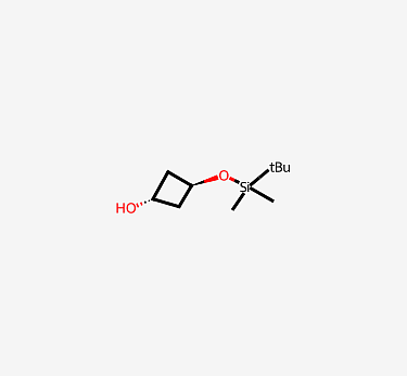 CC(C)(C)[Si](C)(C)O[C@H]1C[C@H](O)C1